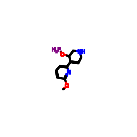 COc1cccc(C2=CCNCC2OP)n1